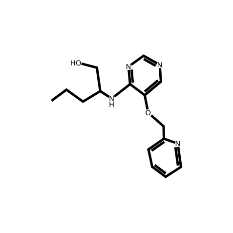 CCCC(CO)Nc1ncncc1OCc1ccccn1